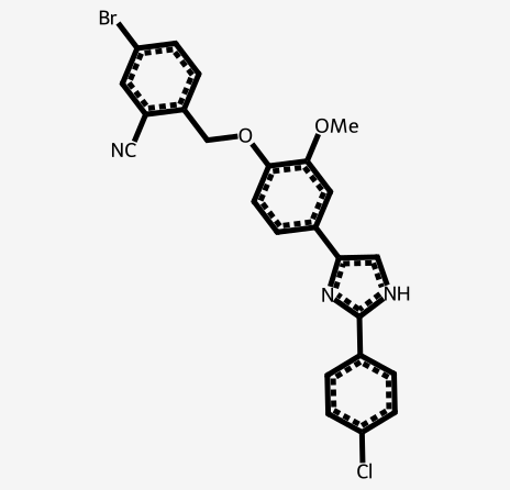 COc1cc(-c2c[nH]c(-c3ccc(Cl)cc3)n2)ccc1OCc1ccc(Br)cc1C#N